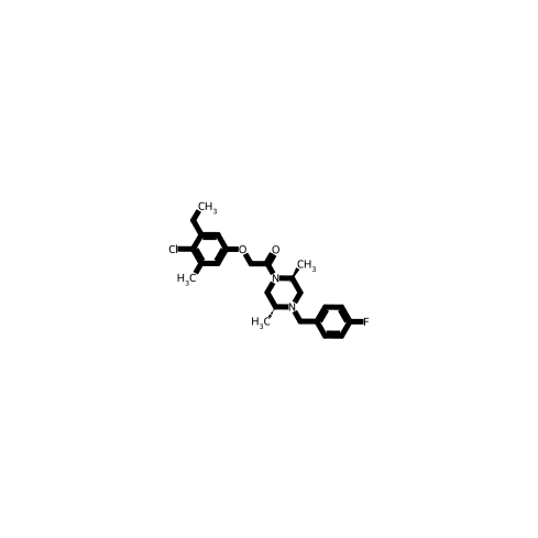 CCc1cc(OCC(=O)N2C[C@@H](C)N(Cc3ccc(F)cc3)C[C@@H]2C)cc(C)c1Cl